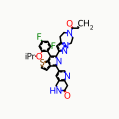 C=CC(=O)N1CCc2cc(-c3nc(-c4cnc5c(c4)CNC(=O)C5)c4ccsc4c3-c3c(F)cc(F)cc3OC(C)C)nn2CC1